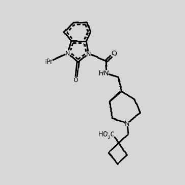 CC(C)n1c(=O)n(C(=O)NCC2CCN(CC3(C(=O)O)CCC3)CC2)c2ccccc21